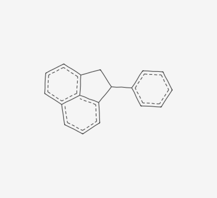 c1ccc(C2Cc3cccc4cccc2c34)cc1